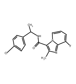 Cc1nc2c(F)cccn2c1C(=O)NC(C)c1ccc(Cl)cc1